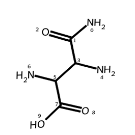 NC(=O)C(N)C(N)C(=O)O